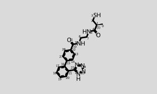 C[C@H](CS)C(=O)NCCNC(=O)c1ccc(-c2ccccc2-c2nnn[nH]2)cc1